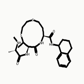 CN[C@@H](C)C(=O)N[C@@H]1C(=O)N[C@H](C(=O)NC2CCCc3ccccc32)CCSCCSC1C